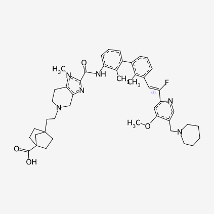 COc1cc(/C(F)=C/c2cccc(-c3cccc(NC(=O)c4nc5c(n4C)CCN(CCC46CCC(C(=O)O)(CC4)C6)C5)c3C)c2C)ncc1CN1CCCCC1